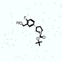 CC(C)(C)OC(=O)N1CC[C@@H](c2ccc(F)c(CO)c2)C1